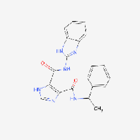 CC(NC(=O)c1nc[nH]c1C(=O)Nc1nc2ccccc2[nH]1)c1ccccc1